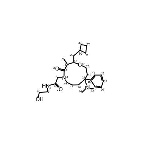 CC1C(=O)N(CC(=O)NCCO)CCC[C@](c2ccccc2)(N(C)C)CCCC1CC1CCC1